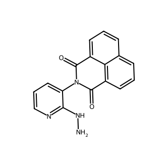 NNc1ncccc1N1C(=O)c2cccc3cccc(c23)C1=O